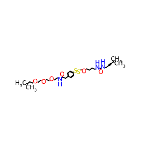 CC(C)C#CCNC(=O)NCCCCOCSSc1ccc(CC(=O)NCCOCCOCCOCCC(C)C)cc1